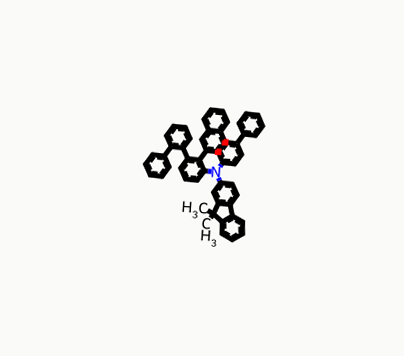 CC1(C)c2ccccc2-c2ccc(N(c3ccc(-c4ccccc4)cc3)c3cccc(-c4ccccc4-c4ccccc4)c3-c3ccc4ccccc4c3)cc21